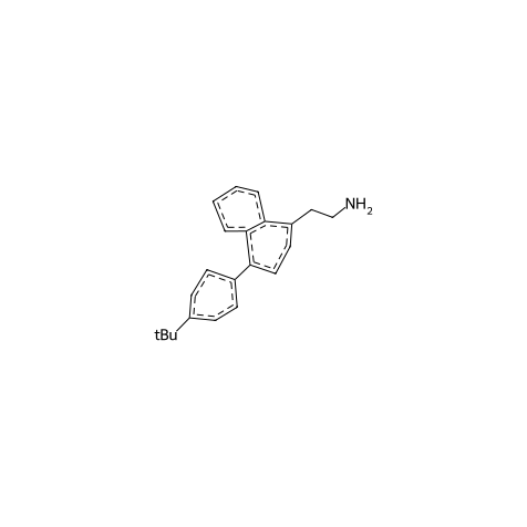 CC(C)(C)c1ccc(-c2ccc(CCN)c3ccccc23)cc1